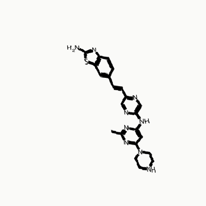 Cc1nc(Nc2cnc(/C=C/c3ccc4nc(N)sc4c3)cn2)cc(N2CCNCC2)n1